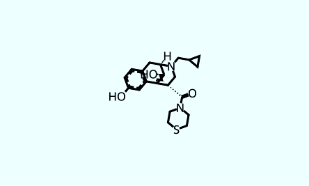 O=C([C@@H]1C[C@]23CCN(CC4CC4)[C@H](Cc4ccc(O)cc42)[C@]3(O)C1)N1CCSCC1